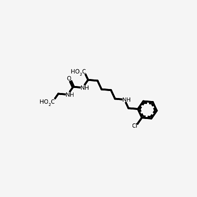 O=C(O)CNC(=O)NC(CCCCNCc1ccccc1Cl)C(=O)O